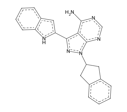 Nc1ncnc2c1c(-c1cc3ccccc3[nH]1)nn2C1Cc2ccccc2C1